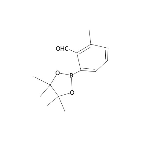 Cc1cccc(B2OC(C)(C)C(C)(C)O2)c1C=O